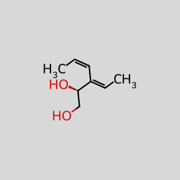 C/C=C\C(=C/C)[C@H](O)CO